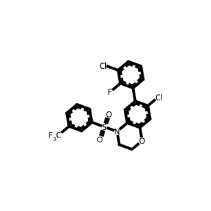 O=S(=O)(c1cccc(C(F)(F)F)c1)N1CCOc2cc(Cl)c(-c3cccc(Cl)c3F)cc21